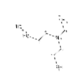 CCN(CCO)CCO.Cl